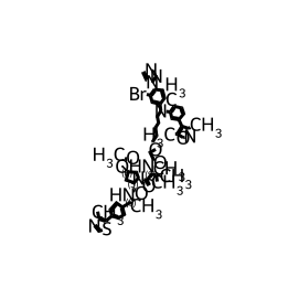 CC(=O)O[C@@H]1C[C@@H](C(=O)N[C@@H](C)c2ccc(-c3scnc3C)cc2)N(C(=O)[C@@H](NC(=O)COCCCCCN(c2ccc(-n3ccnn3)c(Br)c2)c2cc(-c3c(C)noc3C)ccc2C)C(C)(C)C)C1